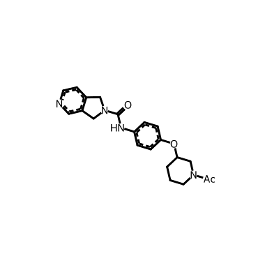 CC(=O)N1CCCC(Oc2ccc(NC(=O)N3Cc4ccncc4C3)cc2)C1